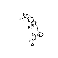 CCn1c(CC[C@@H]2CCCN2C(=O)CNC2CC2)cc2ccc(C(=N)N)cc21